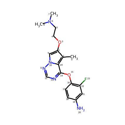 Cc1c(OCCN(C)C)cn2ncnc(Oc3ccc(N)cc3F)c12